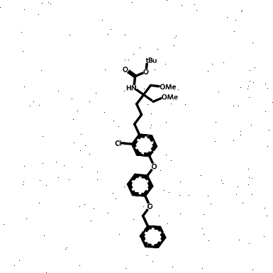 COCC(CCCc1ccc(Oc2cccc(OCc3ccccc3)c2)cc1Cl)(COC)NC(=O)OC(C)(C)C